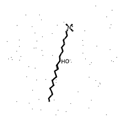 CCCCCCCCC=CCCCCCCCC[N+](C)(C)C.[OH-]